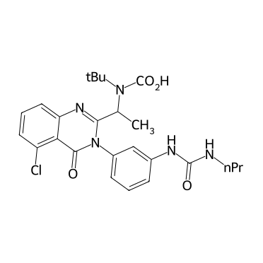 CCCNC(=O)Nc1cccc(-n2c(C(C)N(C(=O)O)C(C)(C)C)nc3cccc(Cl)c3c2=O)c1